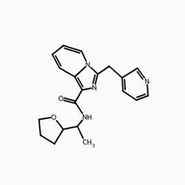 CC(NC(=O)c1nc(Cc2cccnc2)n2ccccc12)C1CCCO1